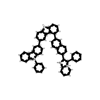 c1ccc(-c2c(-c3ccc4cc(-c5cccc6oc7ccc(-c8ccc9c(c8)c8ccccc8n9-c8ccccc8)cc7c56)ccc4c3)nc3ccccn23)cc1